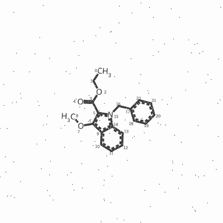 CCOC(=O)c1c(OC)c2ccccc2n1Cc1ccccc1